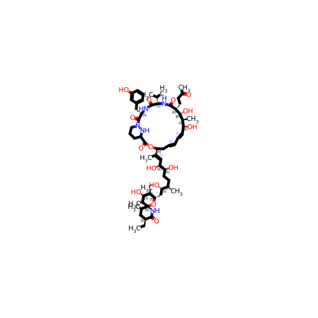 CC[C@H]1C[C@H](C)[C@@]2(NC1=O)O[C@@H](C[C@H](O)[C@@H](C)CC[C@H](O)[C@@H](O)/C=C(\C)[C@@H]1C/C=C/C=C/[C@H](O)[C@H](C)[C@@H](O)[C@@H](CCC(C)=O)C(=O)N[C@@H](C(C)C)C(=O)N[C@@H](Cc3cccc(O)c3)C(=O)N3CCCC(N3)C(=O)O1)[C@H](C)[C@H](O)[C@@H]2C